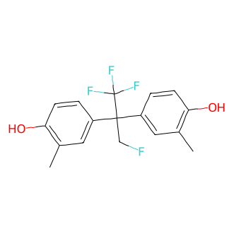 Cc1cc(C(CF)(c2ccc(O)c(C)c2)C(F)(F)F)ccc1O